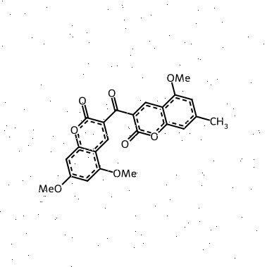 COc1cc(OC)c2cc(C(=O)c3cc4c(OC)cc(C)cc4oc3=O)c(=O)oc2c1